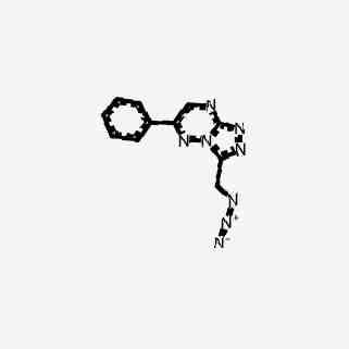 [N-]=[N+]=NCc1nnc2ncc(-c3ccccc3)nn12